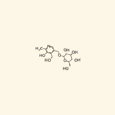 Cc1ncc(COC2O[C@H](CO)[C@@H](O)[C@H](O)[C@H]2O)c(CO)c1O